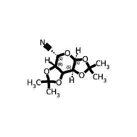 CC1(C)O[C@@H]2O[C@@H](C#N)[C@H]3OC(C)(C)OC3[C@@H]2O1